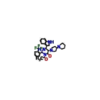 CC(=O)N(Cc1ccccc1C(F)(F)F)C(=O)C(C(N)c1c[nH]c2ccccc12)N1CCC(N2CCCCC2)CC1